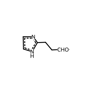 O=[C]CCc1ncc[nH]1